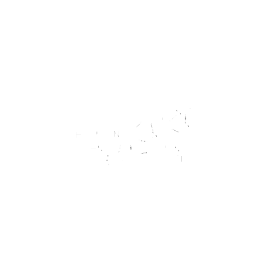 C[C@@H]1CNc2c(sc3ccc4nc(Oc5cc(CN(C)C)nc(Cl)n5)ccc4c23)C(=O)N1